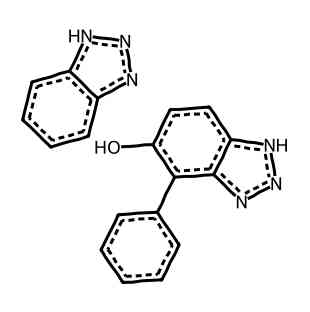 Oc1ccc2[nH]nnc2c1-c1ccccc1.c1ccc2[nH]nnc2c1